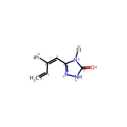 C=C/C(=C\c1n[nH]c(=O)n1CC)C(C)C